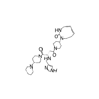 O=C(C[C@H](NCc1c[nH]cn1)C(=O)N1CCC(N2CCCCC2)CC1)N1CCC(N2CC/C=C\C=C/CNC2=O)CC1